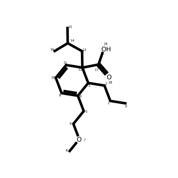 CCCC1C(CCOC)=CC=CC1(CC(C)C)C(=O)O